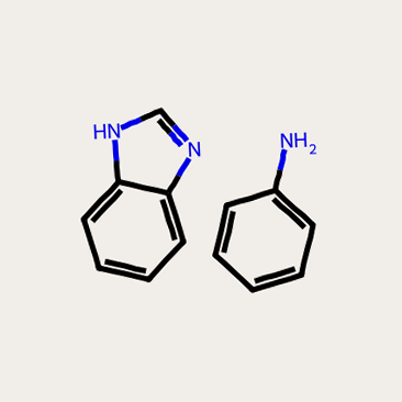 Nc1ccccc1.c1ccc2[nH]cnc2c1